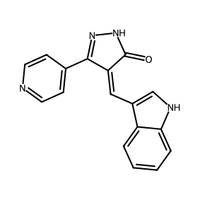 O=C1NN=C(c2ccncc2)C1=Cc1c[nH]c2ccccc12